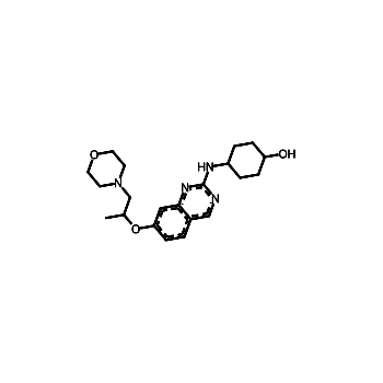 CC(CN1CCOCC1)Oc1ccc2cnc(NC3CCC(O)CC3)nc2c1